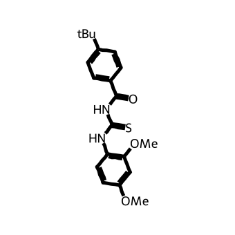 COc1ccc(NC(=S)NC(=O)c2ccc(C(C)(C)C)cc2)c(OC)c1